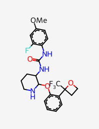 COc1ccc(NC(=O)NC2CCCNC2Oc2ccccc2C2(C(F)(F)F)CCO2)c(F)c1